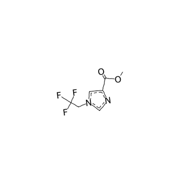 COC(=O)c1cn(CC(F)(F)F)cn1